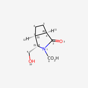 O=C(O)N1C(=O)[C@@H]2CC[C@@H]2[C@H]1CO